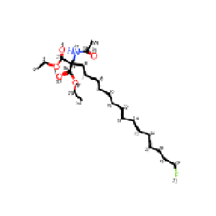 CCOC(=O)C(CCCCCCCCCCCCCCCF)(NC(C)=O)C(=O)OCC